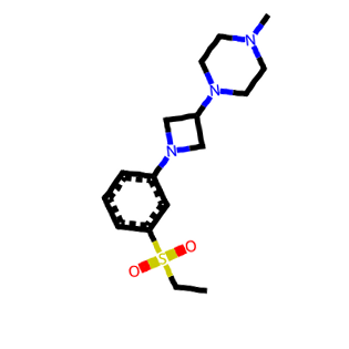 CCS(=O)(=O)c1cccc(N2CC(N3CCN(C)CC3)C2)c1